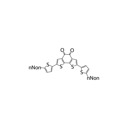 CCCCCCCCCc1ccc(-c2cc3c(s2)-c2sc(-c4ccc(CCCCCCCCC)s4)cc2C(=O)C3=O)s1